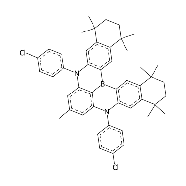 Cc1cc2c3c(c1)N(c1ccc(Cl)cc1)c1cc4c(cc1B3c1cc3c(cc1N2c1ccc(Cl)cc1)C(C)(C)CCC3(C)C)C(C)(C)CCC4(C)C